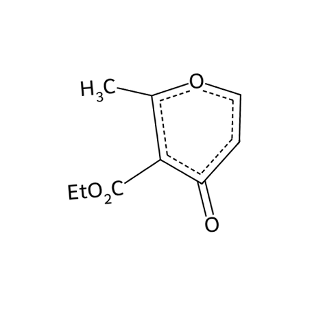 CCOC(=O)c1c(C)occc1=O